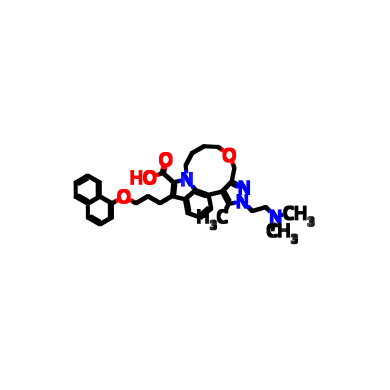 Cc1c2c(nn1CCN(C)C)COCCCCn1c(C(=O)O)c(CCCOc3cccc4ccccc34)c3cccc-2c31